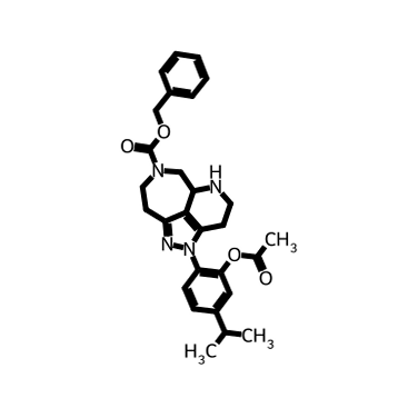 CC(=O)Oc1cc(C(C)C)ccc1-n1nc2c3c1CCNC3CN(C(=O)OCc1ccccc1)CC2